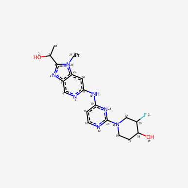 CC(O)c1nc2cnc(Nc3ccnc(N4CCC(O)C(F)C4)n3)cc2n1C(C)C